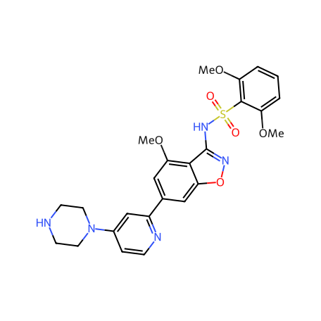 COc1cccc(OC)c1S(=O)(=O)Nc1noc2cc(-c3cc(N4CCNCC4)ccn3)cc(OC)c12